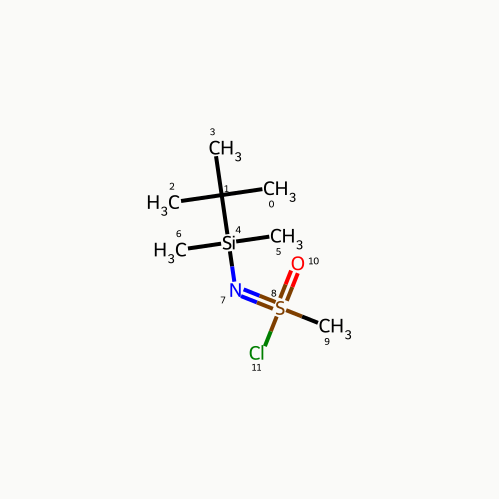 CC(C)(C)[Si](C)(C)N=S(C)(=O)Cl